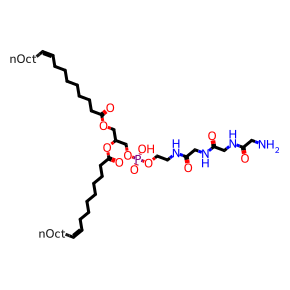 CCCCCCCC/C=C\CCCCCCCC(=O)OCC(COP(=O)(O)OCCNC(=O)CNC(=O)CNC(=O)CN)OC(=O)CCCCCCC/C=C\CCCCCCCC